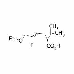 CCOC/C(F)=C/C1C(C(=O)O)C1(C)C